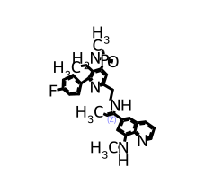 C/C=C(\NCCc1cc(P(N)(=O)CC)c(CC)c(-c2ccc(F)cc2)n1)c1cc(NC)c2ncccc2c1